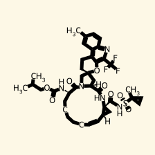 Cc1ccc2nc(C(F)(F)F)c3c(c2c1)CC[C@]1(C[C@H]2C(=O)N[C@]4(C(=O)NS(=O)(=O)C5(C)CC5)C[C@H]4/C=C\CCCCC[C@H](NC(=O)OCC(C)C)C(=O)N2C1)O3